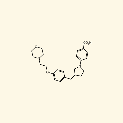 O=C(O)c1ccc(N2CCC(Cc3ccc(OCCN4CCOCC4)cc3)C2)cc1